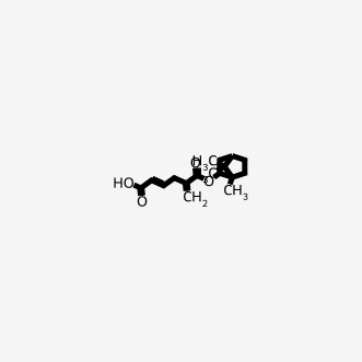 C=C(CC=CC(=O)O)C(=O)OC1CC2CCC1(C)C2(C)C